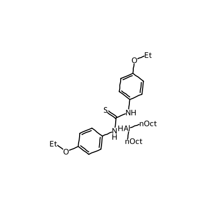 CCCCCCC[CH2][AlH][CH2]CCCCCCC.CCOc1ccc(NC(=S)Nc2ccc(OCC)cc2)cc1